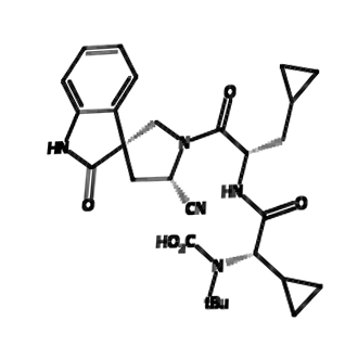 CC(C)(C)N(C(=O)O)[C@H](C(=O)N[C@@H](CC1CC1)C(=O)N1C[C@]2(C[C@H]1C#N)C(=O)Nc1ccccc12)C1CC1